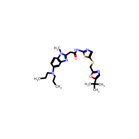 CCCN(CCC)c1ccc2c(c1)nc(CC(=O)Nc1ncc(SCc3ncc(C(C)(C)C)o3)s1)n2C